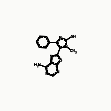 Cn1c(S)nc(-c2ccccc2)c1-c1nc2c(N)ncnc2s1